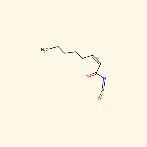 CCCCC/C=C\C(=O)N=C=O